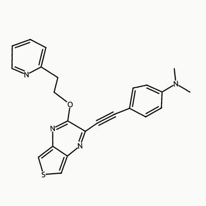 CN(C)c1ccc(C#Cc2nc3cscc3nc2OCCc2ccccn2)cc1